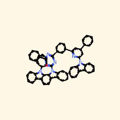 c1ccc(-c2cc(-c3cccc(-c4nc(-c5ccccc5)nc(-n5c6ccccc6c6ccc7c8ccccc8n(-c8ccccc8)c7c65)n4)c3)nc(-n3c4ccccc4c4ccccc43)c2)cc1